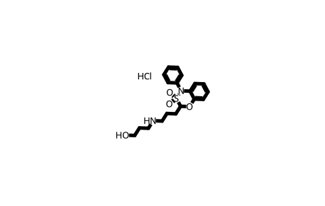 Cl.O=S1(=O)C(CCCNCCCO)Oc2ccccc2N1c1ccccc1